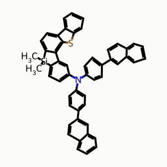 C[Si]1(C)c2ccc(N(c3ccc(-c4ccc5ccccc5c4)cc3)c3ccc(-c4ccc5ccccc5c4)cc3)cc2-c2c1ccc1c2sc2ccccc21